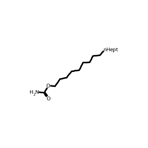 CCCCCCCCCCCCCCCCOC(N)=O